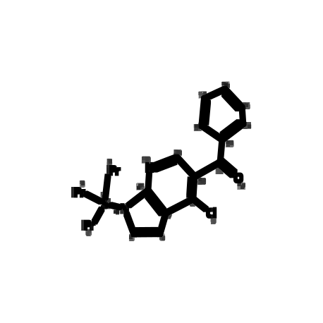 CC(C)[Si](C(C)C)(C(C)C)n1ccc2c(Cl)c(C(=O)c3ccccc3)cnc21